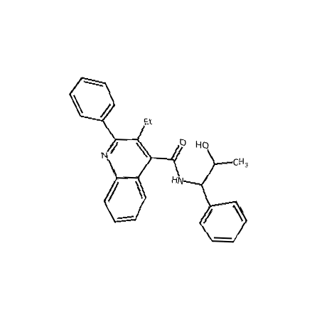 CCc1c(-c2ccccc2)nc2ccccc2c1C(=O)NC(c1ccccc1)C(C)O